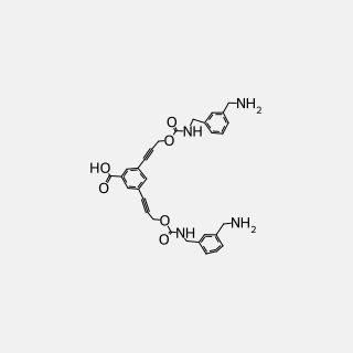 NCc1cccc(CNC(=O)OCC#Cc2cc(C#CCOC(=O)NCc3cccc(CN)c3)cc(C(=O)O)c2)c1